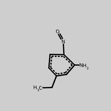 CCc1ccc(N=O)c(N)c1